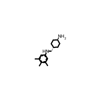 Cc1cc(NC[C@H]2CC[C@H](N)CC2)cc(C)c1C